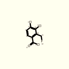 O=C(Cl)c1ccc(Cl)c(Cl)c1CF